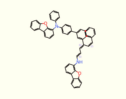 C(=C/c1ccccc1)/C(=C\C=C\Nc1cccc2c1oc1ccccc12)c1cccc(-c2ccc(N(c3ccccc3)c3cccc4c3oc3ccccc34)cc2)c1